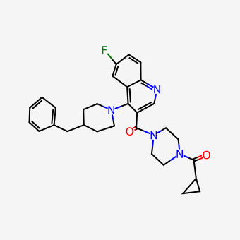 O=C(c1cnc2ccc(F)cc2c1N1CCC(Cc2ccccc2)CC1)N1CCN(C(=O)C2CC2)CC1